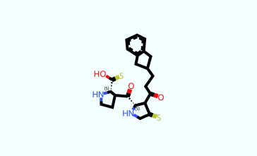 O=C(CCC1Cc2ccccc2C1)C1C(=S)CN[C@@H]1C(=O)C1CCN[C@@H]1C(O)=S